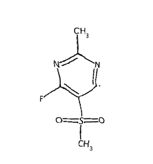 Cc1n[c]c(S(C)(=O)=O)c(F)n1